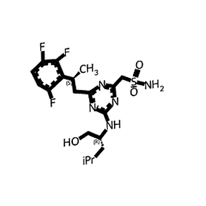 CC(C)C[C@H](CO)Nc1nc(C[C@H](C)c2c(F)ccc(F)c2F)nc(CS(N)(=O)=O)n1